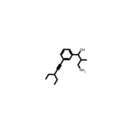 CCC(C#Cc1cccc(C(O)C(C)CN)c1)CC